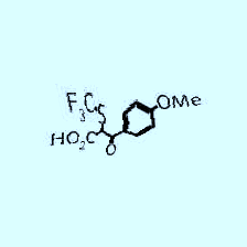 COc1ccc(C(=O)C(SC(F)(F)F)C(=O)O)cc1